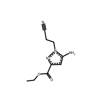 CCOC(=O)c1cc(N)n(CCC#N)n1